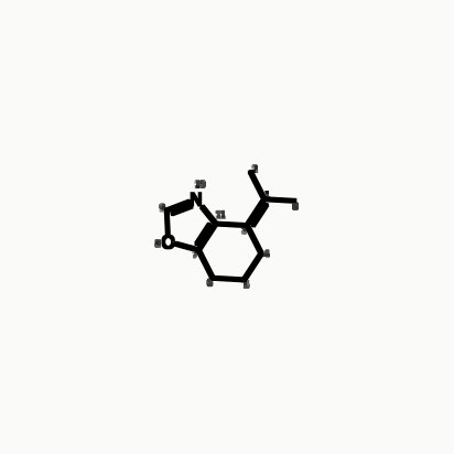 CC(C)=C1CCCc2ocnc21